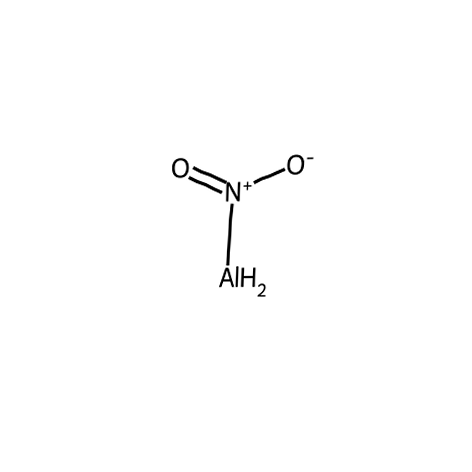 O=[N+]([O-])[AlH2]